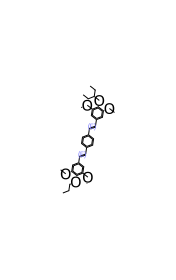 CCCOc1c(OC)cc(/C=C/c2ccc(/C=C/c3cc(OC)c(OC(CC)CC)c(OC)c3)cc2)cc1OC